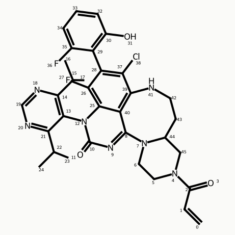 C=CC(=O)N1CCN2c3nc(=O)n(-c4c(C(C)C)ncnc4C(C)C)c4c(F)c(-c5c(O)cccc5F)c(Cl)c(c34)NCCC2C1